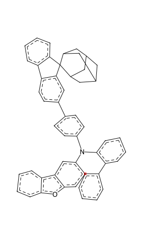 c1ccc(-c2ccccc2N(c2ccc(-c3ccc4c(c3)C3(c5ccccc5-4)C4CC5CC(C4)CC3C5)cc2)c2ccc3oc4ccccc4c3c2)cc1